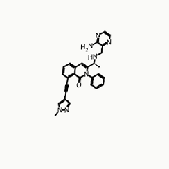 C[C@H](NCc1nccnc1N)c1cc2cccc(C#Cc3cnn(C)c3)c2c(=O)n1-c1ccccc1